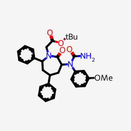 COc1cccc(N(C(N)=O)C2CC(c3ccccc3)CC(c3ccccc3)N(CC(=O)OC(C)(C)C)C2=O)c1